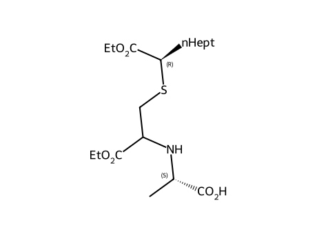 CCCCCCC[C@@H](SCC(N[C@@H](C)C(=O)O)C(=O)OCC)C(=O)OCC